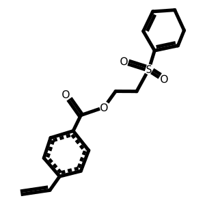 C=Cc1ccc(C(=O)OCCS(=O)(=O)C2=CCCC=C2)cc1